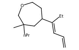 C=C/C=C(\CC)C1CCOCC(C)(CCC)C1